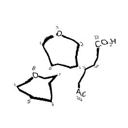 C1CCOC1.C1CCOC1.CC(=O)CCC(=O)O